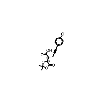 CC1(C)OC(=O)[C@H]([C@@H](CC#Cc2ccc(Cl)cc2)C(=O)O)O1